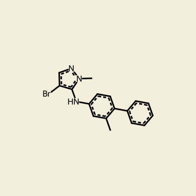 Cc1cc(Nc2c(Br)cnn2C)ccc1-c1ccccc1